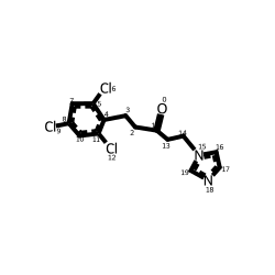 O=C(CCc1c(Cl)cc(Cl)cc1Cl)CCn1ccnc1